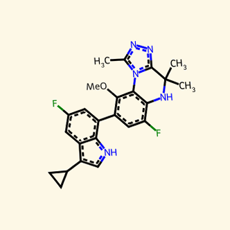 COc1c(-c2cc(F)cc3c(C4CC4)c[nH]c23)cc(F)c2c1-n1c(C)nnc1C(C)(C)N2